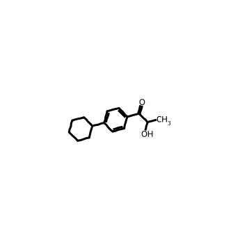 CC(O)C(=O)c1ccc(C2CCCCC2)cc1